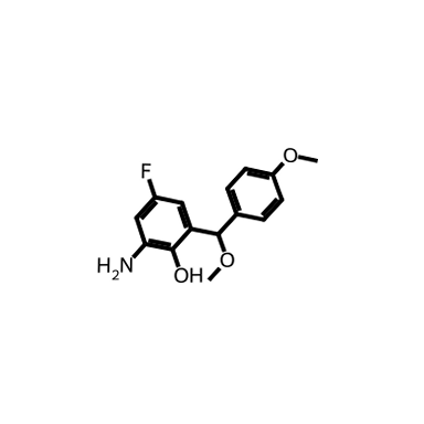 COc1ccc(C(OC)c2cc(F)cc(N)c2O)cc1